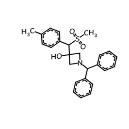 Cc1ccc(C(C2(O)CN(C(c3ccccc3)c3ccccc3)C2)S(C)(=O)=O)cc1